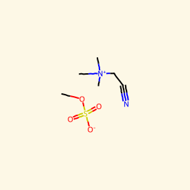 COS(=O)(=O)[O-].C[N+](C)(C)CC#N